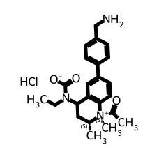 CCN(C(=O)[O-])C1C[C@H](C)[N@+](C)(C(C)=O)c2ccc(-c3ccc(CN)cc3)cc21.Cl